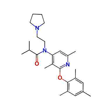 Cc1cc(C)c(Oc2nc(C)cc(N(CCN3CCCC3)C(=O)C(C)C)c2C)c(C)c1